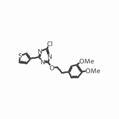 COc1ccc(CCOc2nc(Cl)nc(-c3ccsc3)n2)cc1OC